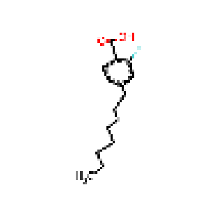 CCCCCCCCc1ccc(C(=O)O)c(F)c1